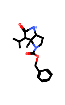 CC(C)C1C(=O)NC2CCN(C(=O)OCc3ccccc3)[C@@H]21